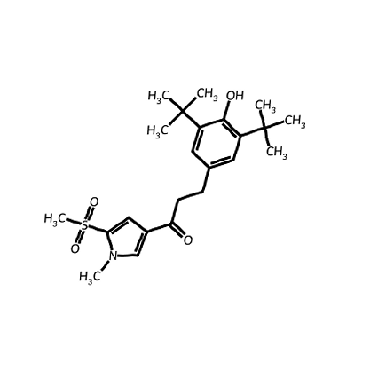 Cn1cc(C(=O)CCc2cc(C(C)(C)C)c(O)c(C(C)(C)C)c2)cc1S(C)(=O)=O